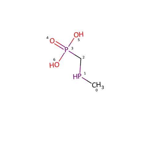 CPCP(=O)(O)O